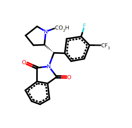 O=C(O)N1CCCC1[C@H](c1ccc(C(F)(F)F)c(F)c1)N1C(=O)c2ccccc2C1=O